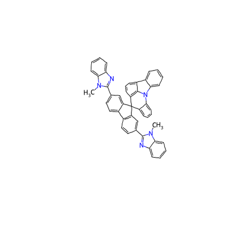 Cn1c(-c2ccc3c(c2)C2(c4cc(-c5nc6ccccc6n5C)ccc4-3)c3ccccc3-n3c4ccccc4c4cccc2c43)nc2ccccc21